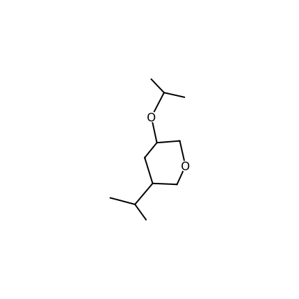 CC(C)OC1COCC(C(C)C)C1